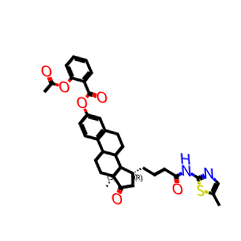 CC(=O)Oc1ccccc1C(=O)Oc1ccc2c(c1)CCC1C2CC[C@]2(C)C(=O)C[C@@H](CCCC(=O)Nc3ncc(C)s3)C12